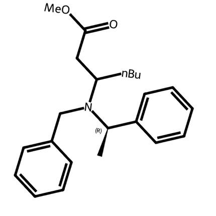 CCCCC(CC(=O)OC)N(Cc1ccccc1)[C@H](C)c1ccccc1